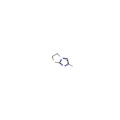 CC(=O)c1cn2c(n1)SCC2